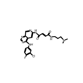 CN(C)CCCNC(=O)C=CC(=O)Nc1cc2c(Nc3ccc(F)c(Cl)c3)ncnc2cn1